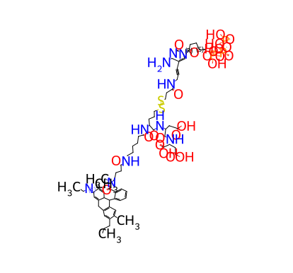 CCCc1cc2c(cc1C)C(c1ccccc1C(=O)N(C)CCCC(=O)NCCCCCC(=O)NC(CCCSSCCC(=O)NCC#Cc1cn([C@H]3CC[C@@H](COP(=O)(O)OP(=O)(O)OP(=O)(O)O)O3)c(=O)nc1N)C(=O)NC(CC(=O)O)C(=O)NC(CC(=O)O)C(=O)O)C1C=C(C)/C(=N/CC)C=C1C2